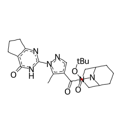 Cc1c(C(=O)N2CC3CCCC(C2)N3C(=O)OC(C)(C)C)cnn1-c1nc2c(c(=O)[nH]1)CCC2